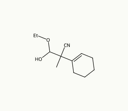 CCOC(O)C(C)(C#N)C1=CCCCC1